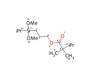 CO[Si](CCCOC(=O)C(C)(C)C(C)C)(OC)C(C)C